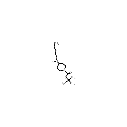 CCCCC[S+]([O-])C1CCN(C(=O)OC(C)(C)C)CC1